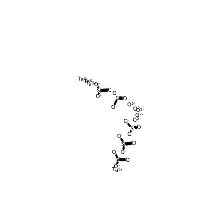 O=[Si]([O-])[O-].O=[Si]([O-])[O-].O=[Si]([O-])[O-].O=[Si]([O-])[O-].O=[Si]([O-])[O-].[O-2].[O-2].[O-2].[O-2].[O-2].[Ta+5].[Ta+5].[Ta+5].[Ta+5]